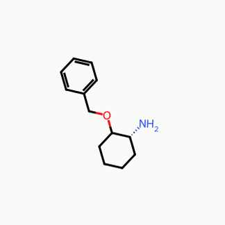 N[C@@H]1CCCCC1OCc1ccccc1